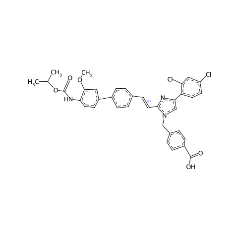 COc1cc(-c2ccc(/C=C/c3nc(-c4ccc(Cl)cc4Cl)cn3Cc3ccc(C(=O)O)cc3)cc2)ccc1NC(=O)OC(C)C